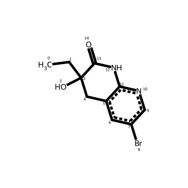 CCC1(O)Cc2cc(Br)cnc2NC1=O